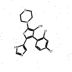 N#Cc1c(N2CCOCC2)sc(-c2cnc[nH]2)c1-c1ccc(Cl)cc1Cl